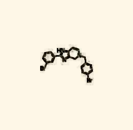 Brc1ccc(CN2C=Cc3[nH]c(-c4cccc(Br)c4)nc3C2)cc1